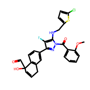 COc1ccccc1C(=O)n1nc(-c2ccc3c(c2)CC=CC3(O)C=O)c(F)c1NCc1ccc(Cl)s1